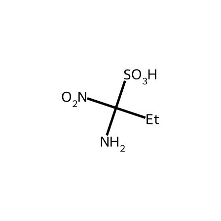 CCC(N)([N+](=O)[O-])S(=O)(=O)O